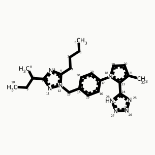 CCCCc1nc(C(C)CC)nn1Cc1ccc(-n2ccc(C)c2-c2nnn[nH]2)cc1